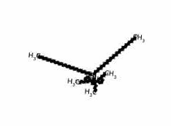 CCCCC1=C(c2cccc(CCCC)c2)[N+](=[N-])C(c2cccc(CCCC)c2)=C1.CCCCCCCCCCCCCCCCCCCCCCCCCCC[CH2][Pd][CH2]CCCCCCCCCCCCCCCCCCCCCCCCCCC